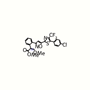 CO/C=C(\C(=O)OC)c1ccccc1-c1cc(-c2nc(C(F)(F)F)c(-c3ccc(Cl)cc3)s2)on1